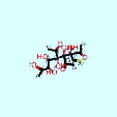 CC(=O)C(O)[C@@H](O)[C@](O)(C(C)=O)[C@@](O)(C(C)=O)[C@@](O)(C=S)C(C)=O